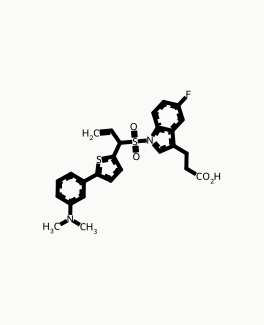 C=CC(c1ccc(-c2cccc(N(C)C)c2)s1)S(=O)(=O)n1cc(CCC(=O)O)c2cc(F)ccc21